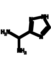 NC(N)c1nc[nH]n1